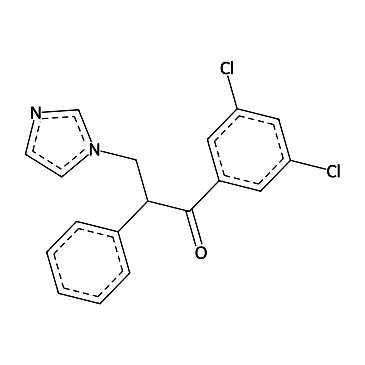 O=C(c1cc(Cl)cc(Cl)c1)C(Cn1ccnc1)c1ccccc1